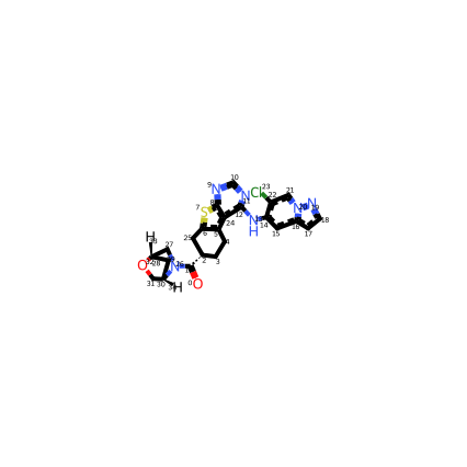 O=C([C@H]1CCc2c(sc3ncnc(Nc4cc5ccnn5cc4Cl)c23)C1)N1C[C@@H]2C[C@H]1CO2